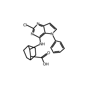 O=C(O)C1C2CCC(CC2)C1Nc1nc(Cl)nc2ccn(-c3ccccc3)c12